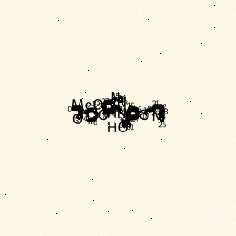 C=CC(=O)N1CCC(Oc2cc3c(Nc4ccc(OCc5cccc(C)n5)cc4C(C)(C)O)ncnc3cc2OC)CC1